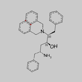 NC(Cc1ccccc1)C[C@H](O)[C@H](Cc1ccccc1)N(Cc1ccccc1)Cc1ccccc1